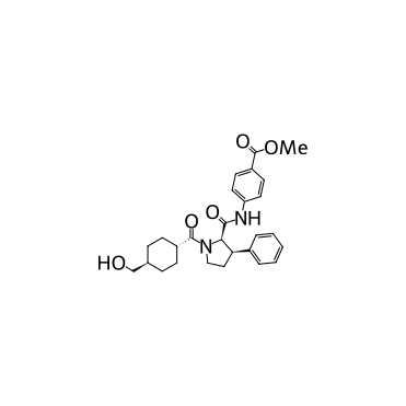 COC(=O)c1ccc(NC(=O)[C@H]2[C@@H](c3ccccc3)CCN2C(=O)[C@H]2CC[C@H](CO)CC2)cc1